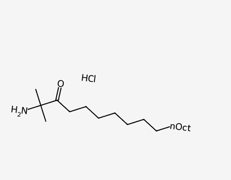 CCCCCCCCCCCCCCCC(=O)C(C)(C)N.Cl